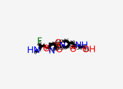 CNC/C(=C/F)COc1ccc(S(=O)(=O)N2CCC(CC(=O)NCCO)CC2)cn1